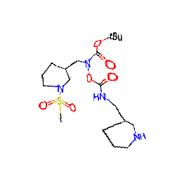 CC(C)(C)OC(=O)N(CC1CCCN(S(C)(=O)=O)C1)OC(=O)NCC1CCCNC1